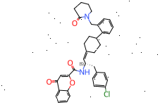 O=C(N[C@H](C=C1CCC(c2ccccc2CN2CCCCC2=O)CC1)Cc1ccc(Cl)cc1)c1cc(=O)c2ccccc2o1